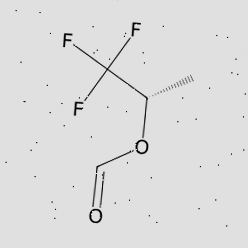 C[C@H](OC=O)C(F)(F)F